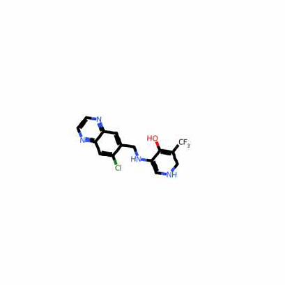 OC1=C(C(F)(F)F)CNC=C1NCc1cc2nccnc2cc1Cl